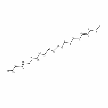 CCCC=CCCCCCCCCCCCCCC=CCCC